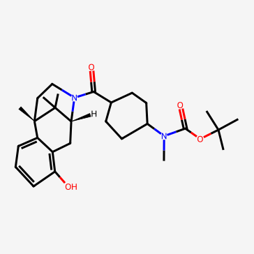 CN(C(=O)OC(C)(C)C)C1CCC(C(=O)N2CC[C@@]3(C)c4cccc(O)c4C[C@@H]2C3(C)C)CC1